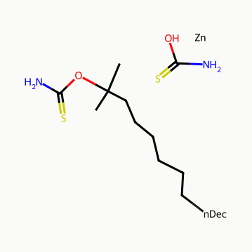 CCCCCCCCCCCCCCCCC(C)(C)OC(N)=S.NC(O)=S.[Zn]